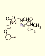 Cc1c(/N=C\N(C=O)Cc2nn(C3CC(Oc4cccc(F)c4)C3)c(=O)o2)ncn1C